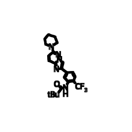 CC(C)(C)C(=O)Nc1cc(-c2cn3nc(N4CCCCC4)ccc3n2)ccc1C(F)(F)F